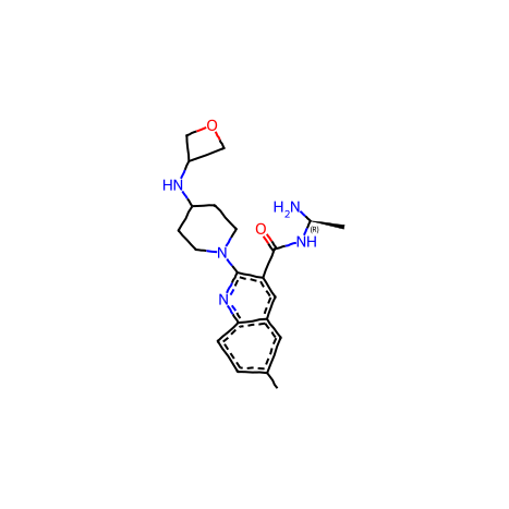 Cc1ccc2nc(N3CCC(NC4COC4)CC3)c(C(=O)N[C@H](C)N)cc2c1